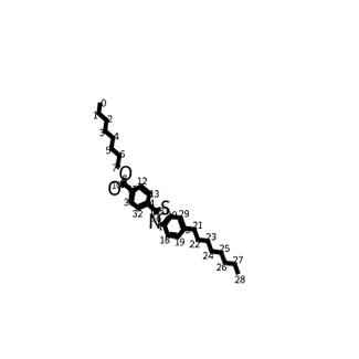 CCCCCCCCOC(=O)c1ccc(-c2nc3ccc(CCCCCCCC)cc3s2)cc1